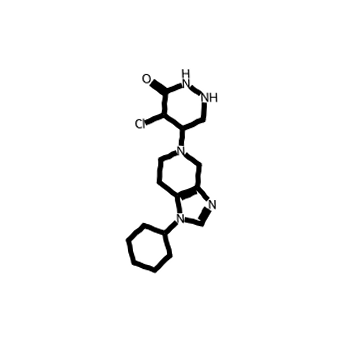 O=C1NNCC(N2CCc3c(ncn3C3CCCCC3)C2)C1Cl